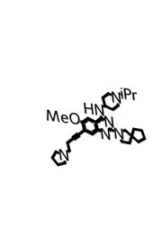 COc1cc2c(NC3CCN(C(C)C)CC3)nc(N3CCC4(CCCC4)C3)nc2cc1C#CCCN1CCCC1